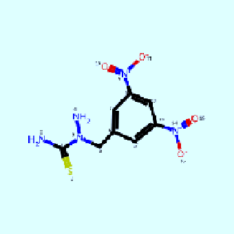 NC(=S)N(N)Cc1cc([N+](=O)[O-])cc([N+](=O)[O-])c1